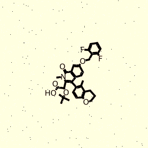 Cc1c(-c2c(C(OC(C)(C)C)C(=O)O)n(C)c(=O)c3cc(OCc4c(F)cccc4F)ccc23)ccc2c1CCCO2